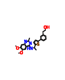 COc1cc2nc(C)nc(NC(C)c3ccc(-c4cccc(CCO)c4)s3)c2cc1OC